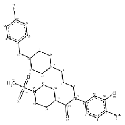 CC(C)c1ccc(N(CCCN2CCC(Cc3ccc(F)cc3)CC2)C(=O)C2CCN(S(C)(=O)=O)CC2)cc1Cl